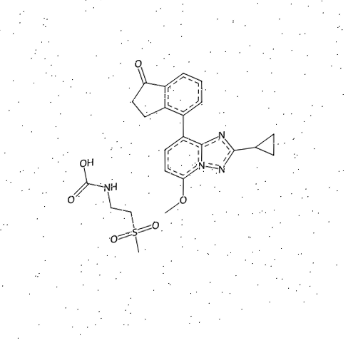 COc1ccc(-c2cccc3c2CCC3=O)c2nc(C3CC3)nn12.CS(=O)(=O)CCNC(=O)O